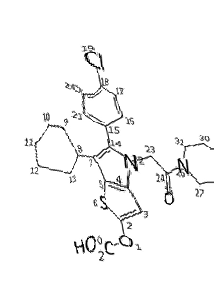 O=C(O)Oc1cc2c(s1)c(C1CCCCC1)c(-c1ccc(Cl)cc1)n2CC(=O)N1CCOCC1